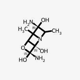 CC1N2C(C)(C3O[C@@](N)(O)[C@@]32O)[C@]1(N)O